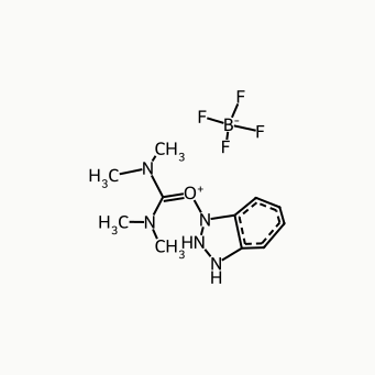 CN(C)C(=[O+]N1NNc2ccccc21)N(C)C.F[B-](F)(F)F